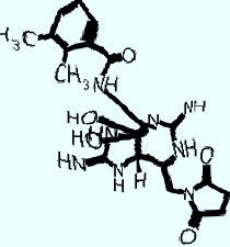 Cc1cccc(C(=O)NC2CN3C(=N)NC(CN4C(=O)CCC4=O)[C@@H]4NC(=N)N[C@@]43C2(O)O)c1C